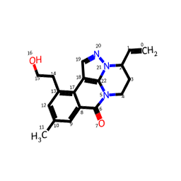 C=CC1CCn2c(=O)c3cc(C)cc(CCO)c3c3cnn1c32